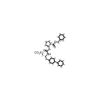 CCOC(=O)C[C@@H](Cc1ccc(-c2ccccc2)cc1)NC(=O)CN1CCC[C@H]1C(=O)OCc1ccccc1